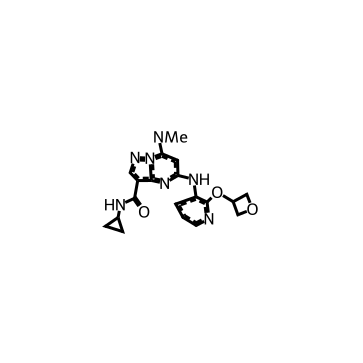 CNc1cc(Nc2cccnc2OC2COC2)nc2c(C(=O)NC3CC3)cnn12